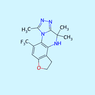 Cc1nnc2n1-c1c(C(F)(F)F)cc3c(c1NC2(C)C)CCO3